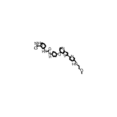 COCCNCc1ccc(-c2cc3nccc(Oc4ccc(NC(=O)Nc5cccc(C(N)=O)c5)cc4)c3s2)nc1